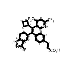 O=C(O)/C=C/c1ccc(/C(=C(\c2cnc(C(F)(F)F)cc2C(F)(F)F)C2CCC2)c2ccc3[nH]nc(F)c3c2)cc1